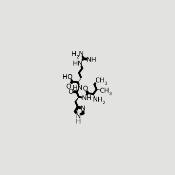 CC[C@H](C)[C@H](N)C(=O)N[C@@H](Cc1c[nH]cn1)C(=O)N[C@@H](CCCNC(=N)N)C(=O)O